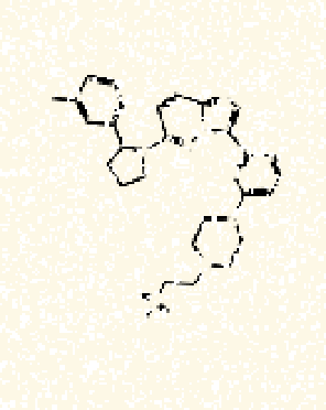 CS(=O)(=O)CCN1CCN(c2cccc(-c3cnc4ccc(N5CCCC5c5cccc(F)c5)nn34)n2)CC1